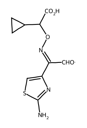 Nc1nc(C([C]=O)=NOC(C(=O)O)C2CC2)cs1